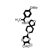 COc1ccc(C(C)N[C@@H]2COCC23CCN(c2cnc(C=O)c(Cl)n2)CC3)cc1